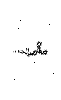 CCOCCCNC(=O)COc1ccc(CCN(Cc2ccccc2)CC(O)COc2ccccc2)cc1